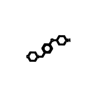 c1cc(OC2CCNCC2)ccc1CN1CCOCC1